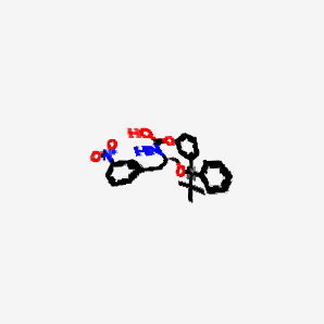 CC(C)(C)[Si](OC[C@H](Cc1cccc([N+](=O)[O-])c1)NC(=O)O)(c1ccccc1)c1ccccc1